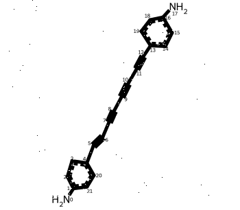 Nc1ccc(C#CC#CC#CC#Cc2ccc(N)cc2)cc1